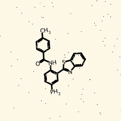 Cc1ccc(C(=O)Nc2ccc(P)cc2-c2nc3ccccc3s2)cc1